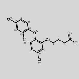 O=C(O)CCCOc1cc(Cl)ccc1Oc1ccc(Cl)cc1Cl